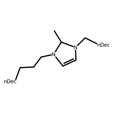 CCCCCCCCCCCCCN1C=CN(CCCCCCCCCCC)C1C